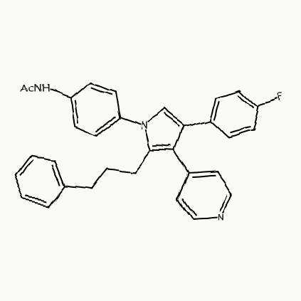 CC(=O)Nc1ccc(-n2cc(-c3ccc(F)cc3)c(-c3ccncc3)c2CCCc2ccccc2)cc1